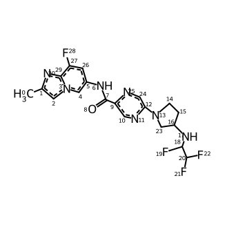 Cc1cn2cc(NC(=O)c3cnc(N4CCC(NC(F)C(F)F)C4)cn3)cc(F)c2n1